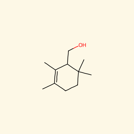 CC1=C(C)C(CO)C(C)(C)CC1